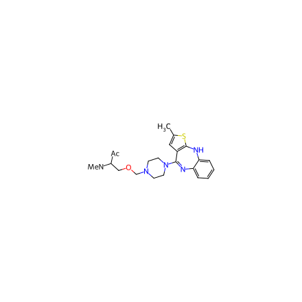 CNC(COCN1CCN(C2=Nc3ccccc3Nc3sc(C)cc32)CC1)C(C)=O